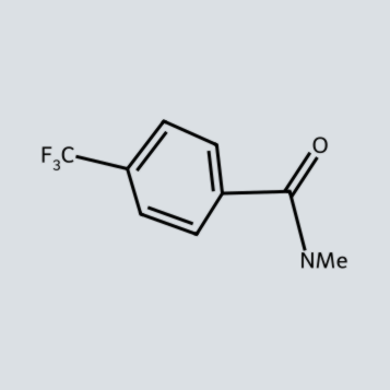 [CH2]NC(=O)c1ccc(C(F)(F)F)cc1